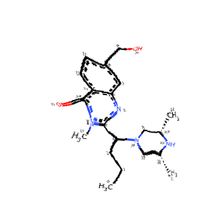 CCCC(c1nc2cc(CO)ccc2c(=O)n1C)N1C[C@@H](C)N[C@@H](C)C1